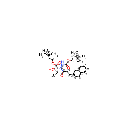 CC[C@@](O)(C(=O)OCC[Si](C)(C)C)N(NC(=O)OCC[Si](C)(C)C)C(=O)CCc1ccc2ccccc2c1